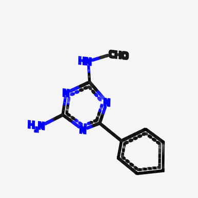 Nc1nc(NC=O)nc(-c2ccccc2)n1